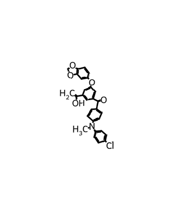 C=C(O)c1cc(Oc2ccc3c(c2)OCO3)cc(C(=O)c2ccc(N(C)c3ccc(Cl)cc3)cc2)c1